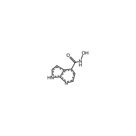 O=C(NO)c1ccnc2[nH]ccc12